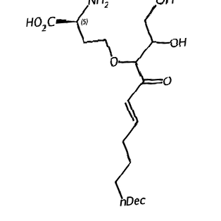 CCCCCCCCCCCCCC=CC(=O)C(OCC[C@H](N)C(=O)O)C(O)CO